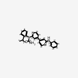 CC(C)c1ccccc1N(C(N)=O)c1cc(-c2ccnc(Nc3ccccc3)c2)ccn1